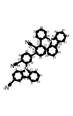 N#Cc1ccc2c(c1)c1ccccc1n2-c1cc(-c2cccc(-c3ccccc3-n3c4ccccc4c4ccccc43)c2C#N)ccc1C#N